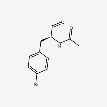 CC(=O)N[C@H](C=O)Cc1ccc(Br)cc1